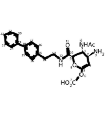 CC(=O)N[C@@H]1[C@@H](N)C=C(OC(=O)O)O[C@H]1C(=O)NCCc1ccc(-c2ccccc2)cc1